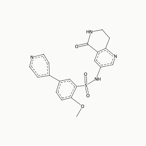 COc1ccc(-c2ccncc2)cc1S(=O)(=O)Nc1cnc2c(c1)C(=O)NCC2